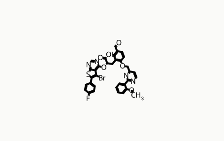 COc1ccccc1-c1nccc(COc2ccc(C=O)cc2CC(Oc2ncnc3sc(-c4ccc(F)cc4)c(Br)c23)C(=O)O)n1